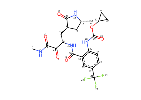 CNC(=O)C(=O)[C@H](C[C@@H]1C[C@@H](C)NC1=O)NC(=O)c1cc(C(F)(F)F)ccc1NC(=O)OC1CC1